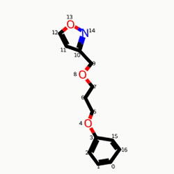 c1ccc(OCCCOCc2ccon2)cc1